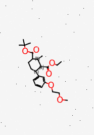 CCOC(=O)[C@H]1[C@@H](c2cccc(OCCOC)c2)CCC(C(=O)OC(C)(C)C)[C@H]1C